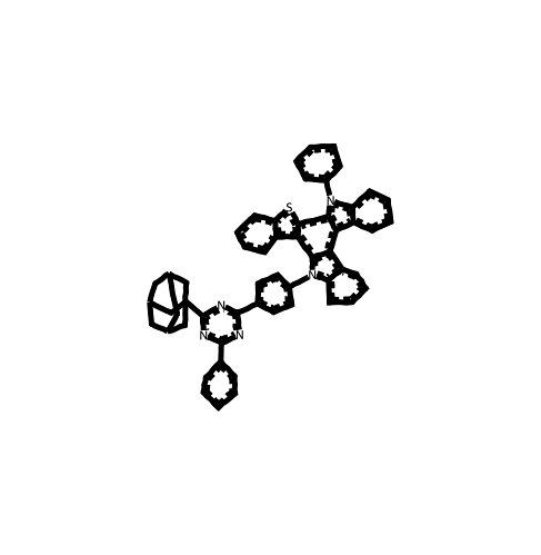 c1ccc(-c2nc(-c3ccc(-n4c5ccccc5c5c6c7ccccc7n(-c7ccccc7)c6c6sc7ccccc7c6c54)cc3)nc(C34CC5CC(CC(C5)C3)C4)n2)cc1